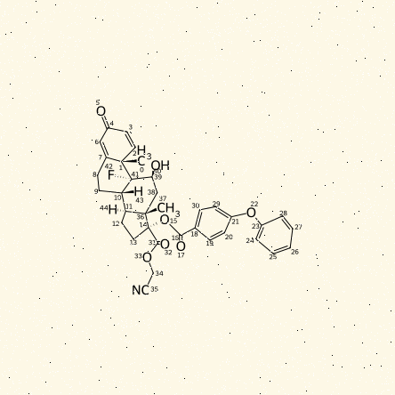 C[C@]12C=CC(=O)C=C1CC[C@H]1[C@@H]3CC[C@](OC(=O)c4ccc(Oc5ccccc5)cc4)(C(=O)OCC#N)[C@@]3(C)C[C@H](O)[C@@]12F